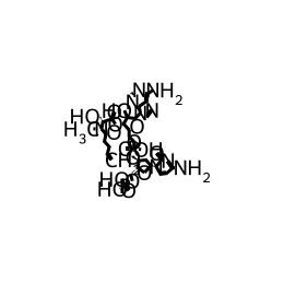 C=CCCC(=O)N(C)[C@H](CO)C(=O)OC1C(COP(=O)(O)O[C@H]2C[C@H](n3ccc(N)nc3=O)O[C@@H]2COP(=O)(O)O)OC(n2cnc3c(N)ncnc32)C1O